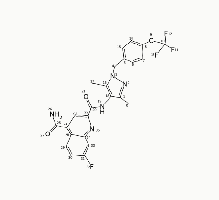 Cc1nn(Cc2ccc(OC(F)(F)F)cc2)c(C)c1NC(=O)c1cc(C(N)=O)c2ccc(F)cc2n1